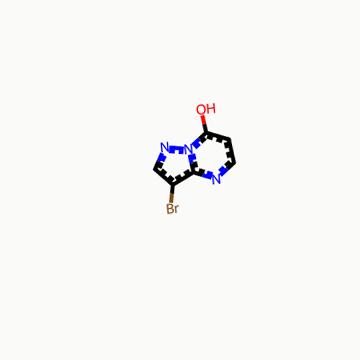 Oc1ccnc2c(Br)cnn12